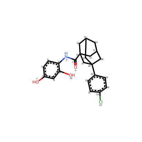 O=C(Nc1ccc(O)cc1O)C12CC3CC(C1)CC(c1ccc(Cl)cc1)(C3)C2